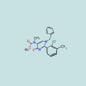 CN(C(=O)OC(C)(C)C)c1cn(Cc2ccccc2)c(-c2cccc(C(F)(F)F)c2Cl)nc1=O